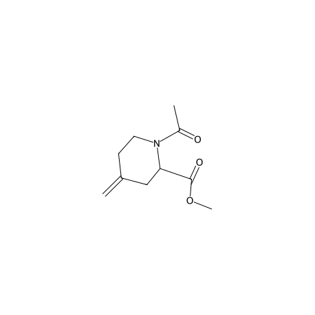 C=C1CCN(C(C)=O)C(C(=O)OC)C1